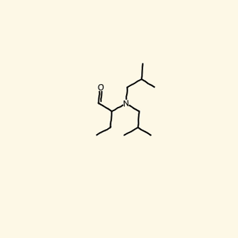 CCC(C=O)N(CC(C)C)CC(C)C